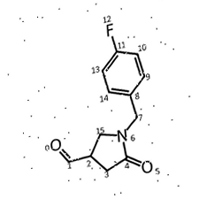 O=CC1CC(=O)N(Cc2ccc(F)cc2)C1